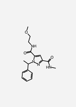 CNC(=O)c1cc(C(=O)NCCOC)n(C(C)c2ccccc2)n1